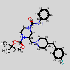 CC(C)(C)OC(=O)N1CCN(C(=O)Nc2ccccc2)CC1CN1CCC(Cc2ccc(F)cc2)CC1